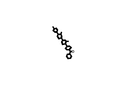 Cc1ccc(-c2ccc(-c3ccc(-c4ccc(C(=O)c5ccccc5)cc4)c(C)c3)cc2C)cc1